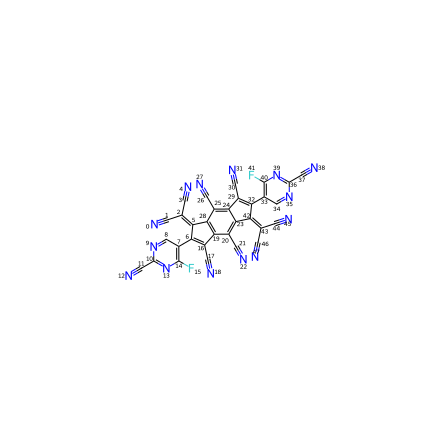 N#CC(C#N)=C1C(c2cnc(C#N)nc2F)=C(C#N)c2c(C#N)c3c(c(C#N)c21)C(C#N)=C(c1cnc(C#N)nc1F)C3=C(C#N)C#N